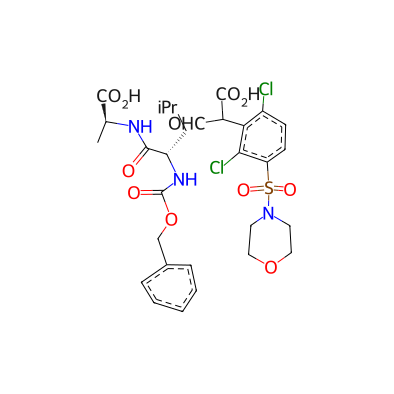 CC(C)C[C@H](NC(=O)OCc1ccccc1)C(=O)N[C@@H](C)C(=O)O.O=CC(C(=O)O)c1c(Cl)ccc(S(=O)(=O)N2CCOCC2)c1Cl